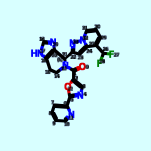 O=C(c1cnc(-c2ccccn2)o1)N1CCc2[nH]cnc2[C@H]1c1cc2c(C(F)F)cccn2n1